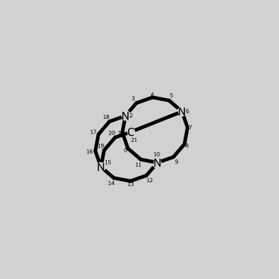 C1CN2CCCN3CCCN(C1)CCCN(CCC2)CCC3